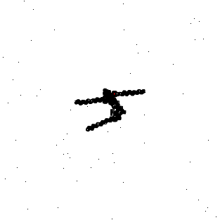 CCCCCCCCCCCCOc1sc2c(C)sc(-c3cc4cc5c(OCCCCCCCCCCCC)c6sc(C)cc6c(OCCCCCCCCCCCC)c5cc4s3)c2c1F